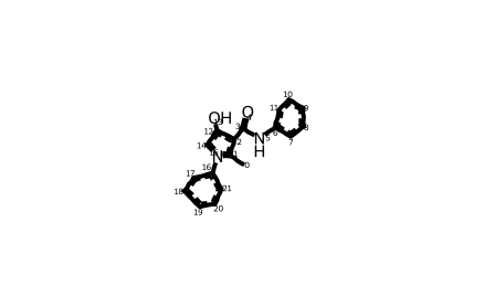 Cc1c(C(=O)Nc2ccccc2)c(O)cn1-c1ccccc1